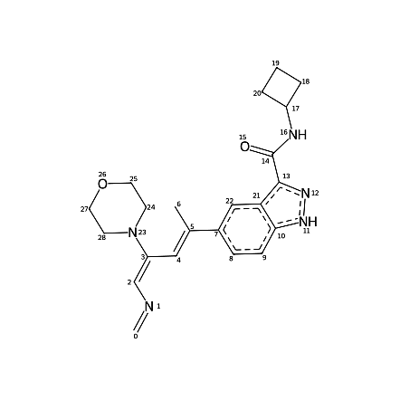 C=N/C=C(\C=C(/C)c1ccc2[nH]nc(C(=O)NC3CCC3)c2c1)N1CCOCC1